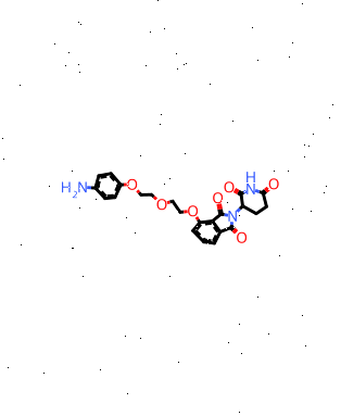 Nc1ccc(OCCOCCOc2cccc3c2C(=O)N(C2CCC(=O)NC2=O)C3=O)cc1